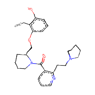 O=Cc1c(O)cccc1OC[C@@H]1CCCCN1C(=O)c1cccnc1CCN1CCCC1